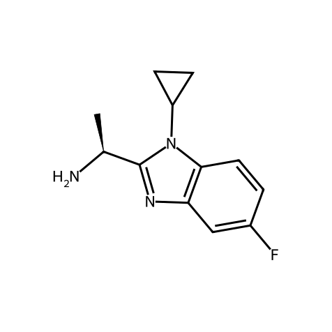 C[C@H](N)c1nc2cc(F)ccc2n1C1CC1